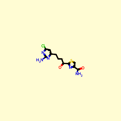 NC(=O)c1csc(C(=O)[CH]CCc2cc(Cl)nc(N)n2)n1